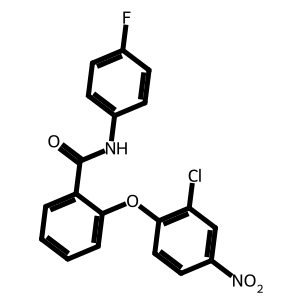 O=C(Nc1ccc(F)cc1)c1ccccc1Oc1ccc([N+](=O)[O-])cc1Cl